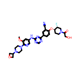 COc1cc(Nc2ncnc(-c3ccc(O[C@H]4CCN(C(=O)CO)C[C@H]4F)c(C#N)c3)n2)cnc1N1CCN(C2COC2)CC1